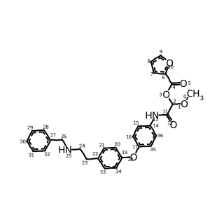 COC(OC(=O)c1ccco1)C(=O)Nc1ccc(Oc2ccc(CCNCc3ccccc3)cc2)cc1